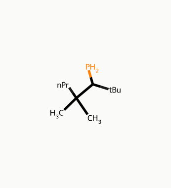 CCCC(C)(C)C(P)C(C)(C)C